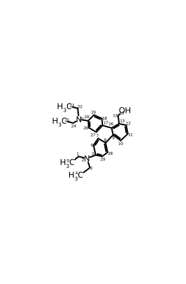 CCN(CC)c1ccc(-c2cccc(CO)c2-c2ccc(N(CC)CC)cc2)cc1